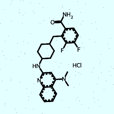 CN(C)c1cc(NC2CCC(Cc3c(C(N)=O)ccc(F)c3F)CC2)nc2ccccc12.Cl